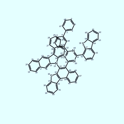 c1ccc(-c2cccc(-c3nc(-c4c(-n5c6cc7ccccc7cc6c6c7ccccc7ccc65)c5sc6ccccc6c5c5ccccc45)nc(-c4cccc5c4sc4ccccc45)n3)c2)cc1